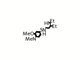 CCNC(CC)CCNSc1ccc(NC)c(OC)c1